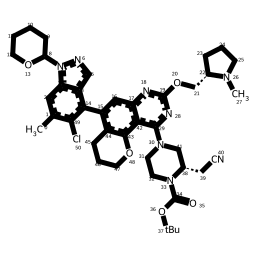 Cc1cc2c(cnn2C2CCCCO2)c(-c2cc3nc(OC[C@@H]4CCCN4C)nc(N4CCN(C(=O)OC(C)(C)C)[C@@H](CC#N)C4)c3c3c2CCCO3)c1Cl